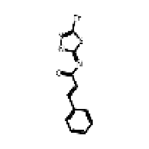 CCC1=N[N]C(=NC(=O)C=Cc2ccccc2)S1